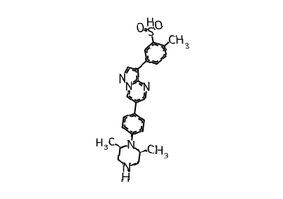 Cc1ccc(-c2cnn3cc(-c4ccc(N5[C@H](C)CNC[C@@H]5C)cc4)cnc23)cc1[SH](=O)=O